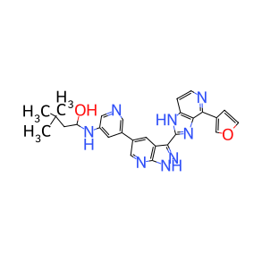 CC(C)(C)CC(O)Nc1cncc(-c2cnc3[nH]nc(-c4nc5c(-c6ccoc6)nccc5[nH]4)c3c2)c1